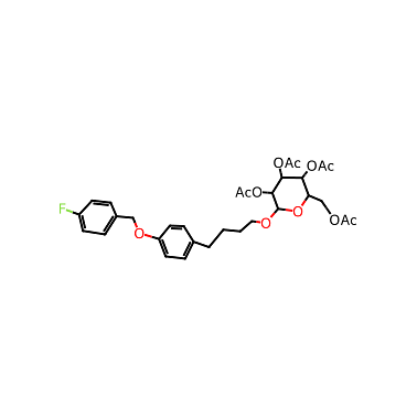 CC(=O)OCC1OC(OCCCCc2ccc(OCc3ccc(F)cc3)cc2)C(OC(C)=O)C(OC(C)=O)C1OC(C)=O